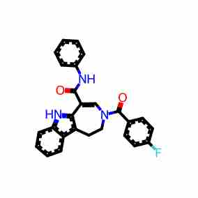 O=C(Nc1ccccc1)C1=CN(C(=O)c2ccc(F)cc2)CCc2c1[nH]c1ccccc21